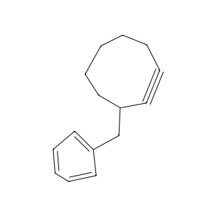 C1#CC(Cc2ccccc2)CCCCC1